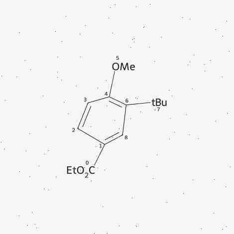 CCOC(=O)c1ccc(OC)c(C(C)(C)C)c1